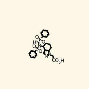 O=C(O)Cn1ncc2c1CCCC2N(NS(=O)(=O)c1ccccc1)S(=O)(=O)c1ccccc1